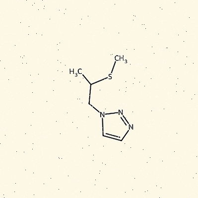 CSC(C)Cn1ccnn1